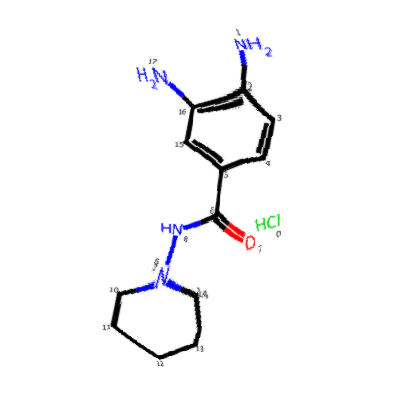 Cl.Nc1ccc(C(=O)NN2CCCCC2)cc1N